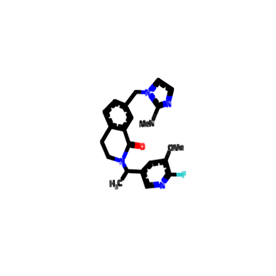 CNc1nccn1Cc1ccc2c(c1)C(=O)N(C(C)c1cnc(F)c(OC)c1)CC2